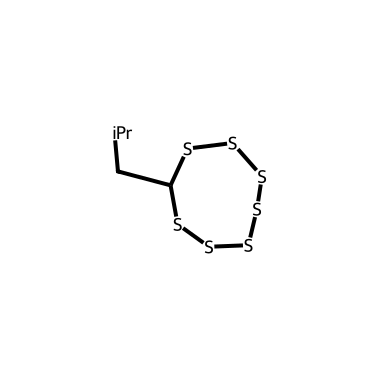 CC(C)CC1SSSSSSS1